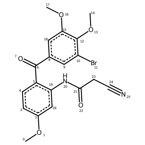 COc1ccc(C(=O)c2cc(Br)c(OC)c(OC)c2)c(NC(=O)CC#N)c1